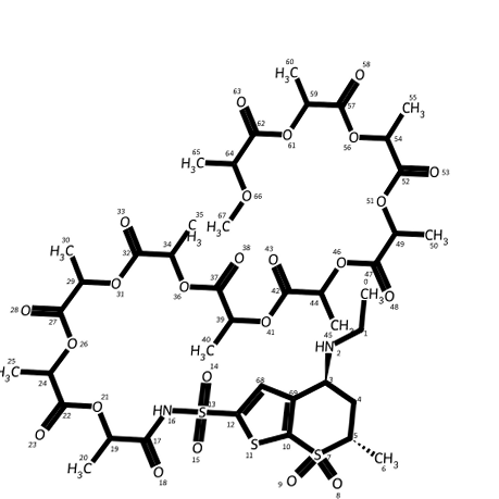 CCN[C@H]1C[C@H](C)S(=O)(=O)c2sc(S(=O)(=O)NC(=O)C(C)OC(=O)C(C)OC(=O)C(C)OC(=O)C(C)OC(=O)C(C)OC(=O)C(C)OC(=O)C(C)OC(=O)C(C)OC(=O)C(C)OC(=O)C(C)OC)cc21